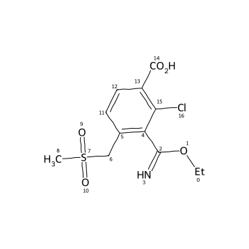 CCOC(=N)c1c(CS(C)(=O)=O)ccc(C(=O)O)c1Cl